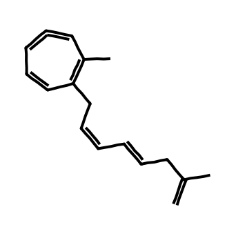 C=C(C)CC=C/C=C\CC1=C(C)C=C=CC=C1